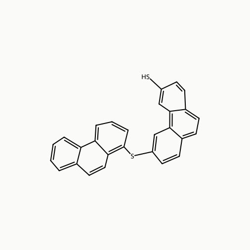 Sc1ccc2ccc3ccc(Sc4cccc5c4ccc4ccccc45)cc3c2c1